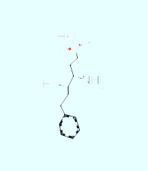 N[C@H](CCS(=O)(=O)O)[C@H](S)CCc1ccccc1